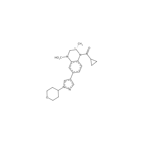 C[C@H]1CN(C(=O)O)c2cc(-c3cnn(C4CCOCC4)c3)ccc2N1C(=O)C1CC1